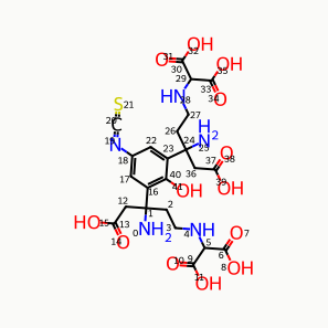 NC(CCNC(C(=O)O)C(=O)O)(CC(=O)O)c1cc(N=C=S)cc(C(N)(CCNC(C(=O)O)C(=O)O)CC(=O)O)c1O